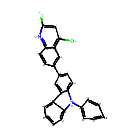 Clc1cc(Cl)c2cc(-c3ccc4c(c3)c3ccccc3n4-c3ccccc3)ccc2n1